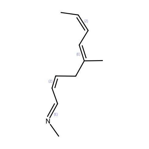 C/C=C\C=C(/C)C/C=C\C=N\C